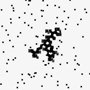 C[C@@H](O)[C@H](N)C(=O)NC(=O)N[C@@H](CCCNC(=N)N)C(=O)N[C@@H](CC(N)=O)C(N)=O